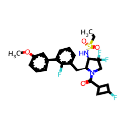 CCS(=O)(=O)N[C@@H]1[C@H](Cc2cccc(-c3cccc(OC)c3)c2F)N(C(=O)C2CC(F)C2)CC1(F)F